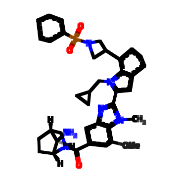 COc1cc(C(=O)N2C[C@H]3CC[C@@H]2[C@@H]3N)cc2nc(-c3cc4cccc(C5CN(S(=O)(=O)c6ccccc6)C5)c4n3CC3CC3)n(C)c12